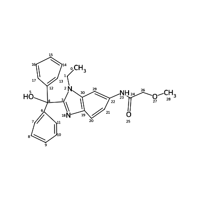 CCn1c(C(O)(c2ccccc2)c2ccccc2)nc2ccc(NC(=O)COC)cc21